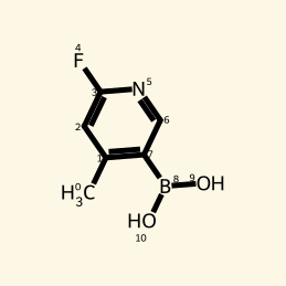 Cc1cc(F)ncc1B(O)O